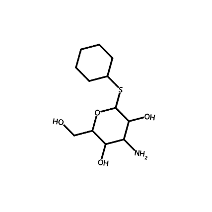 NC1C(O)C(CO)OC(SC2CCCCC2)C1O